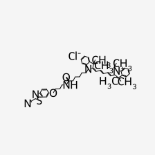 CC[N+]1=C(/C=C/C=C/C=C2/N(CCCCCC(=O)NCCCOc3ccc4nc(C#N)sc4c3)c3ccccc3C2(C)C)C(C)(C)c2ccccc21.[Cl-]